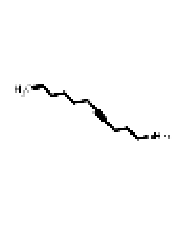 C=CCCCCC#CCCCCCCCCC